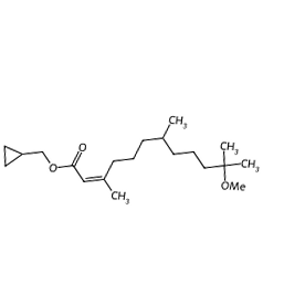 COC(C)(C)CCCC(C)CCCC(C)=CC(=O)OCC1CC1